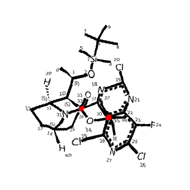 C[C@@H](O[Si](C)(C)C(C)(C)C)[C@@H]1[C@@H]2CC[C@@H](CN1c1nc(Cl)nc3c(F)c(Cl)nc(Cl)c13)N2C(=O)OC(C)(C)C